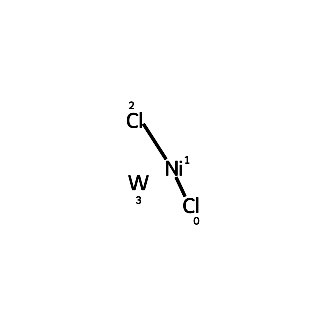 [Cl][Ni][Cl].[W]